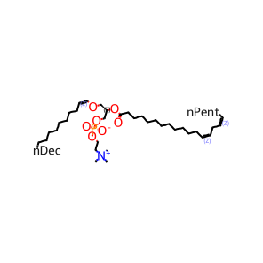 CCCCC/C=C\C/C=C\CCCCCCCCCCCC(=O)O[C@H](CO/C=C\CCCCCCCCCCCCCCCCCC)COP(=O)([O-])OCC[N+](C)(C)C